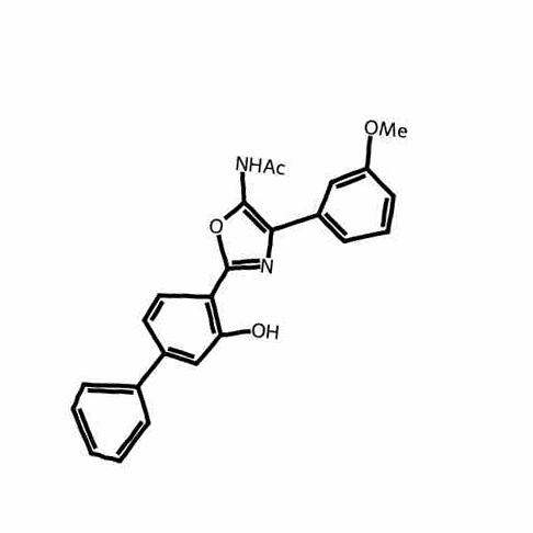 COc1cccc(-c2nc(-c3ccc(-c4ccccc4)cc3O)oc2NC(C)=O)c1